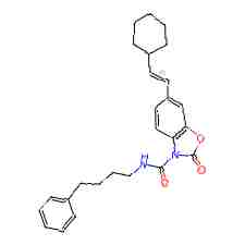 O=C(NCCCCc1ccccc1)n1c(=O)oc2cc(/C=C/C3CCCCC3)ccc21